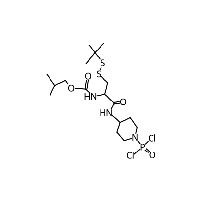 CC(C)COC(=O)NC(CSSC(C)(C)C)C(=O)NC1CCN(P(=O)(Cl)Cl)CC1